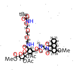 COC(=O)[C@@H]1C[C@H](OC(C)=O)[C@@H](OC(C)=O)[C@H](Oc2ccc(COC(=O)N(C)CCN3C(=O)c4ccc(OC)c5cc6ccccc6c(c45)C3=O)cc2C(=O)NCCOCCOCCONC(=O)OC(C)(C)C)O1